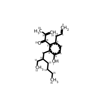 C=CCc1ccc(O)c(CC(CC)CCCC)c1C(=O)C(=C)C